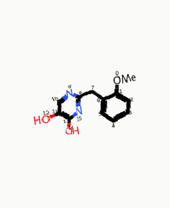 COc1ccccc1Cc1ncc(O)c(O)n1